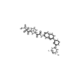 C[C@@H]1CN(c2cccc(-c3ccc4cnc(CC(=O)NC56CCCC(NS(=O)(=O)C(F)F)(C5)C6)cc4n3)n2)C[C@H](C)O1